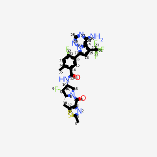 Cc1nc(C(=O)N2C[C@H](F)[C@H](NC(=O)c3cc(-c4cc(C(F)(F)F)c5c(N)ncnn45)c(F)cc3C)C2)c(C)s1